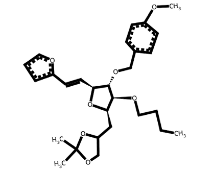 CCCCO[C@@H]1[C@@H](OCc2ccc(OC)cc2)[C@H](/C=C/c2ccco2)O[C@@H]1CC1COC(C)(C)O1